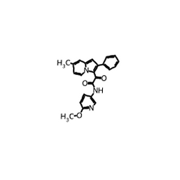 COc1ccc(NC(=O)C(=O)c2c(-c3ccccc3)cc3cc(C)ccn23)cn1